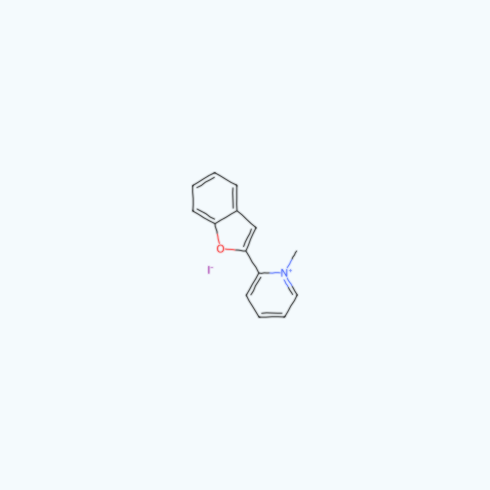 C[n+]1ccccc1-c1cc2ccccc2o1.[I-]